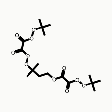 CC(C)(C)OOC(=O)C(=O)OCCC(C)(C)OOC(=O)C(=O)OOC(C)(C)C